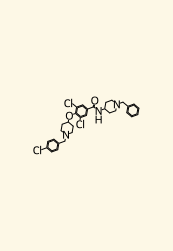 O=C(NC1CCN(Cc2ccccc2)CC1)c1cc(Cl)c(OC2CCN(Cc3ccc(Cl)cc3)CC2)c(Cl)c1